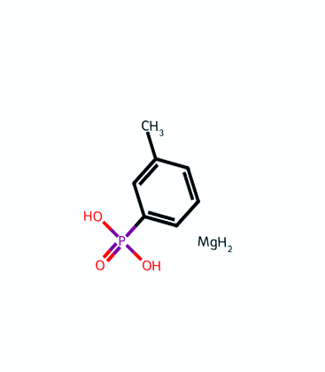 Cc1cccc(P(=O)(O)O)c1.[MgH2]